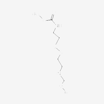 CCCOCNCCSSCCNC(=O)OC(C)(C)C